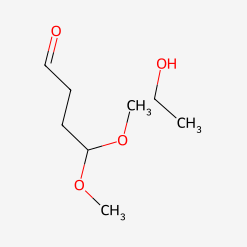 CCO.COC(CCC=O)OC